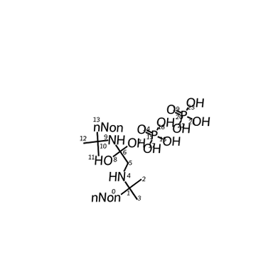 CCCCCCCCCC(C)(C)NCC(O)(O)NC(C)(C)CCCCCCCCC.O=P(O)(O)O.O=P(O)(O)O